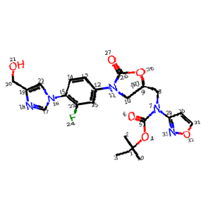 CC(C)(C)OC(=O)N(C[C@H]1CN(c2ccc(-n3cnc(CO)c3)c(F)c2)C(=O)O1)c1ccon1